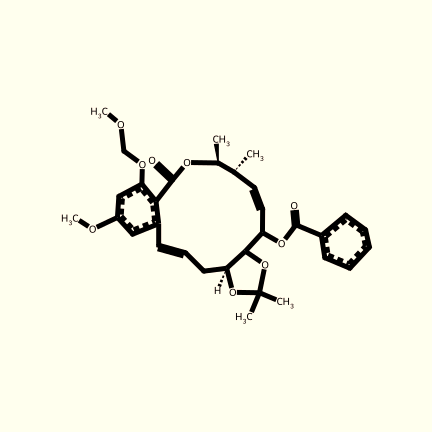 COCOc1cc(OC)cc2c1C(=O)O[C@@H](C)[C@H](C)/C=C\C(OC(=O)c1ccccc1)C1OC(C)(C)O[C@H]1C/C=C/2